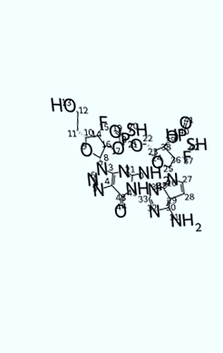 Nc1nc2c(nnn2[C@@H]2O[C@H](CCO)[C@H](F)[C@H]2OP(=O)(S)OC[C@H]2O[C@@H](n3ccc4c(N)ncnc43)[C@@H](F)[C@@H]2O[PH](=O)S)c(=O)[nH]1